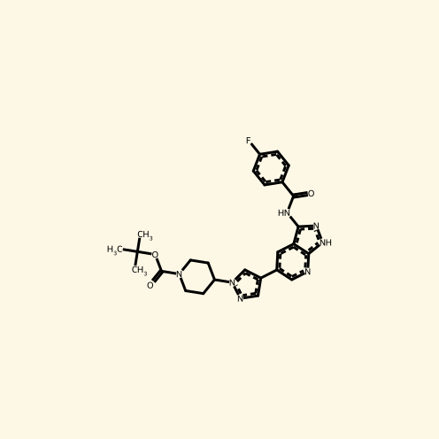 CC(C)(C)OC(=O)N1CCC(n2cc(-c3cnc4[nH]nc(NC(=O)c5ccc(F)cc5)c4c3)cn2)CC1